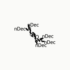 CCCCCCCCCCCCN(CCCCCCCCCCCC)CCN1CCN(C(=O)CN(CCCCCCCCCCCC)CCN(CCCCCCCCCCCC)CCCCCCCCCCCC)CC1